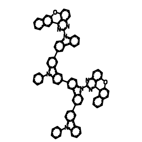 c1ccc(-n2c3ccccc3c3cc(-c4ccc5c(c4)c4cc(-c6ccc7c(c6)c6cc(-c8ccc9c(c8)c8ccccc8n9-c8nc9c%10c(cccc%10n8)Oc8cc%10ccccc%10cc8-9)ccc6n7-c6ccccc6)ccc4n5-c4nc5c6c(cccc6n4)Oc4ccc6ccccc6c4-5)ccc32)cc1